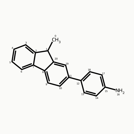 CC1c2ccccc2-c2ccc(-c3ccc(N)cc3)cc21